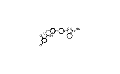 CC(Nc1cc(N2CCN(C(=O)[C@H]3CCCCN3C(=O)OC(C)(C)C)CC2)ccc1F)c1ccc(Cl)cc1Cl